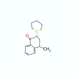 CC1CC([S+]2CCCCC2)C(=O)c2ccccc21